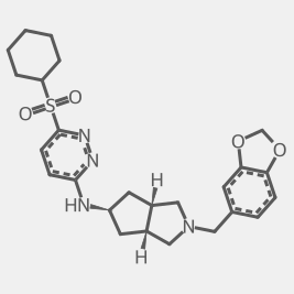 O=S(=O)(c1ccc(N[C@H]2C[C@@H]3CN(Cc4ccc5c(c4)OCO5)C[C@@H]3C2)nn1)C1CCCCC1